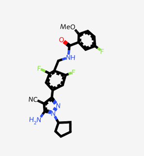 COc1ccc(F)cc1C(=O)NCc1c(F)cc(-c2nn(C3CCCC3)c(N)c2C#N)cc1F